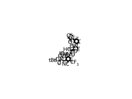 [C-]#[N+]c1c(CN(C(=O)OC(C)(C)C)C(=O)OC(C)(C)C)cc(NC(=O)[C@H](O)[C@H]2OCCN(c3cccc(N4CCOCC4=O)c3)C2=O)cc1C(F)(F)F